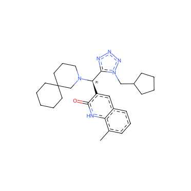 Cc1cccc2cc([C@H](c3nnnn3CC3CCCC3)N3CCCC4(CCCCC4)C3)c(=O)[nH]c12